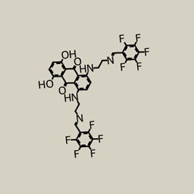 O=C1c2c(O)ccc(O)c2C(=O)c2c(NCC/N=C/c3c(F)c(F)c(F)c(F)c3F)ccc(NCC/N=C/c3c(F)c(F)c(F)c(F)c3F)c21